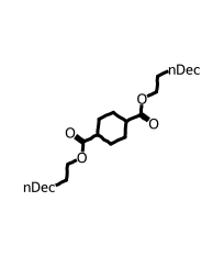 CCCCCCCCCCCCOC(=O)C1CCC(C(=O)OCCCCCCCCCCCC)CC1